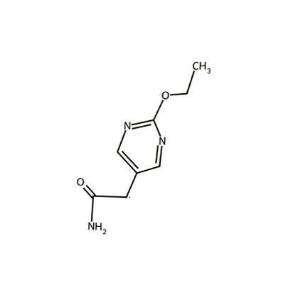 CCOc1ncc([CH]C(N)=O)cn1